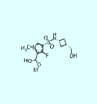 CCOC(O)c1c(F)c(S(=O)(=O)N[C@H]2C[C@@H](CO)C2)cn1C